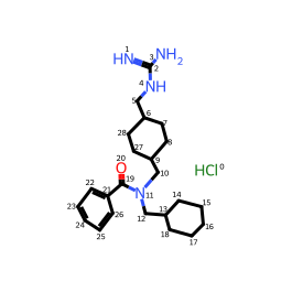 Cl.N=C(N)NCC1CCC(CN(CC2CCCCC2)C(=O)c2ccccc2)CC1